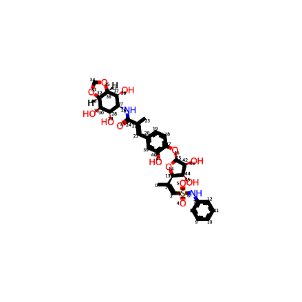 C/C(=C/S(=O)(=O)Nc1ccccc1)[C@H]1O[C@@H](Oc2ccc(/C=C(\C)C(=O)N[C@@H]3[C@H](O)[C@@H](O)[C@H]4OCO[C@H]4[C@@H]3O)cc2O)[C@@H](O)[C@@H]1O